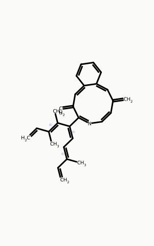 C=C/C(C)=C/C=C(\C(C)=C(/C)C=C)c1nccc(=C)cc2ccccc2cc1=C